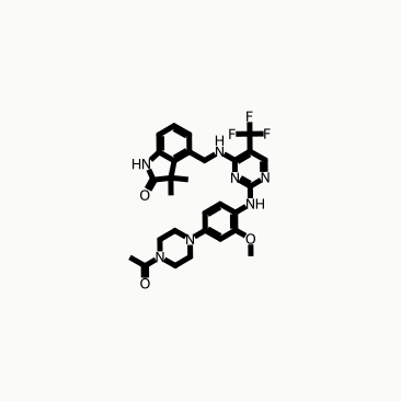 COc1cc(N2CCN(C(C)=O)CC2)ccc1Nc1ncc(C(F)(F)F)c(NCc2cccc3c2C(C)(C)C(=O)N3)n1